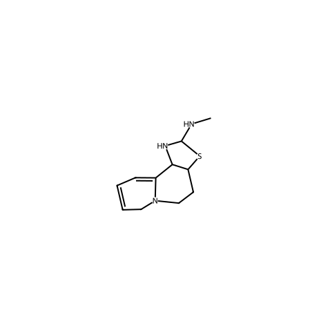 CNC1NC2C3=CC=CCN3CCC2S1